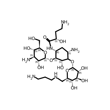 NCCCNC[C@H]1O[C@H](OC2[C@@H](N)C[C@@H](NC(=O)[C@@H](O)CCN)[C@H](O[C@H]3O[C@H](CO)[C@@H](O)[C@H](N)[C@H]3O)[C@H]2O)[C@H](O)[C@@H](O)[C@@H]1O